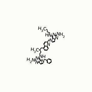 CCCCNc1nc(N)nc2ccn(Cc3ccc4c(CC(C)CCNc5nc(N)nc6ccn(Cc7ccccc7)c56)cccc4n3)c12